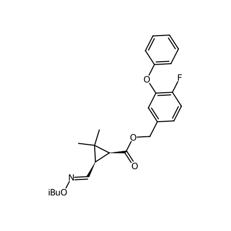 CC(C)CON=C[C@@H]1[C@H](C(=O)OCc2ccc(F)c(Oc3ccccc3)c2)C1(C)C